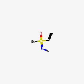 C=CS(=O)(CC)=NC